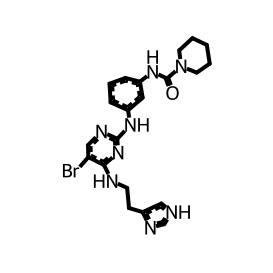 O=C(Nc1cccc(Nc2ncc(Br)c(NCCc3c[nH]cn3)n2)c1)N1CCCCC1